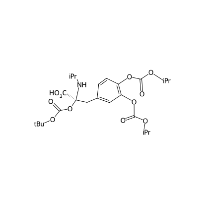 CC(C)N[C@@](Cc1ccc(OC(=O)OC(C)C)c(OC(=O)OC(C)C)c1)(OC(=O)OC(C)(C)C)C(=O)O